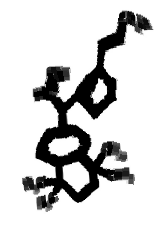 CCOC(=O)C=Cc1cccc(C(NO)c2ccc3c(c2)C(C)(C)CCC3(C)C)c1